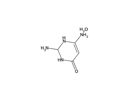 NC1=CC(=O)NC(N)N1.O